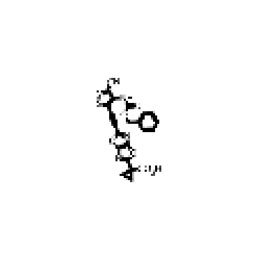 N#Cc1nsc(C#Cc2nc3oc(C4(C(=O)O)CC4)nc3o2)c1NC(=O)OCc1ccccc1